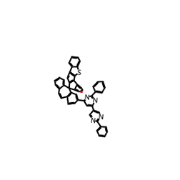 C1=Cc2ccc(-c3cc(-c4cnc(-c5ccccc5)nc4)nc(-c4ccccc4)n3)cc2C2(c3ccccc31)c1ccccc1-c1c2ccc2c1sc1ccccc12